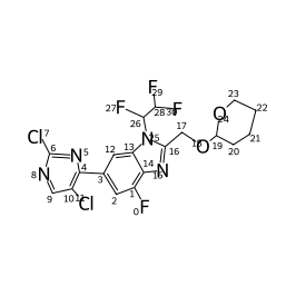 Fc1cc(-c2nc(Cl)ncc2Cl)cc2c1nc(COC1CCCCO1)n2C(F)C(F)F